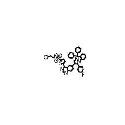 CN(CCCl)S(=O)(=O)c1ccc(-c2ncnc3ccc(-c4cn(C(c5ccccc5)(c5ccccc5)c5ccccc5)nc4-c4ccc(F)cc4)cc23)s1